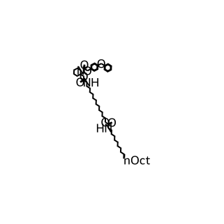 CCCCCCCCC=CCCCCCCCCNC(=O)OCCCCCCCCCCCCNC(=O)OC1CCCCN1C(=O)Oc1ccc(Oc2ccccc2)cc1